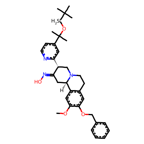 COc1cc2c(cc1OCc1ccccc1)CCN1C[C@@H](c3cc(C(C)(C)O[SiH2]C(C)(C)C)ccn3)C(=NO)C[C@H]21